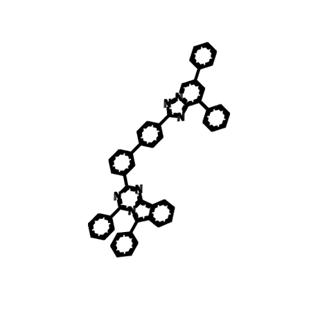 c1ccc(-c2cc(-c3ccccc3)c3nc(-c4ccc(-c5cccc(-c6nc(-c7ccccc7)n7c(-c8ccccc8)c8ccccc8c7n6)c5)cc4)nn3c2)cc1